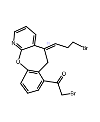 O=C(CBr)c1cccc2c1C/C(=C\CCBr)c1cccnc1O2